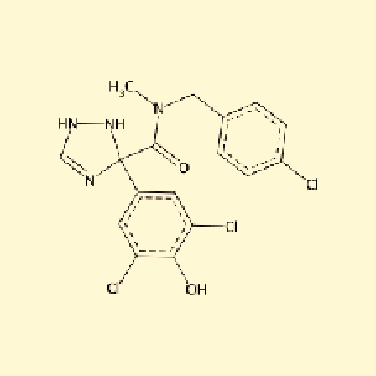 CN(Cc1ccc(Cl)cc1)C(=O)C1(c2cc(Cl)c(O)c(Cl)c2)N=CNN1